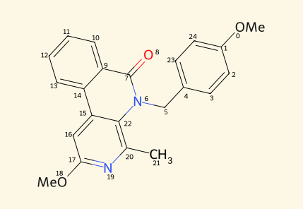 COc1ccc(Cn2c(=O)c3ccccc3c3cc(OC)nc(C)c32)cc1